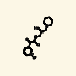 O=C(c1ccc[n+]([O-])c1)N(Cl)OC[C@@H](O)CN1CCCCC1